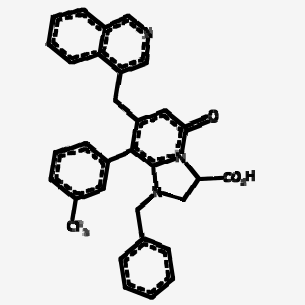 O=C(O)C1CN(Cc2ccccc2)c2c(-c3cccc(C(F)(F)F)c3)c(Cc3cncc4ccccc34)cc(=O)n21